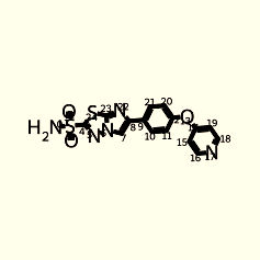 NS(=O)(=O)c1nn2cc(-c3ccc(Oc4ccncc4)cc3)nc2s1